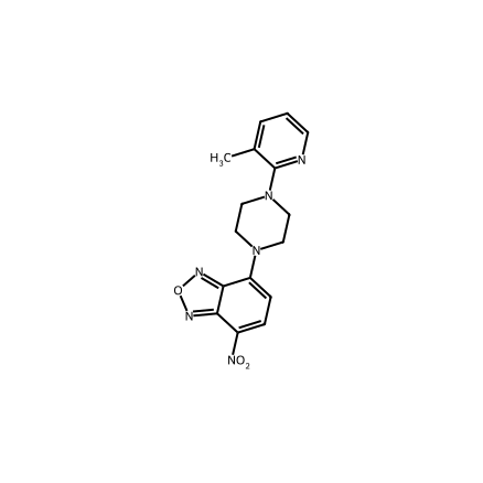 Cc1cccnc1N1CCN(c2ccc([N+](=O)[O-])c3nonc23)CC1